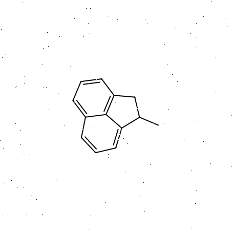 CC1Cc2cccc3cccc1c23